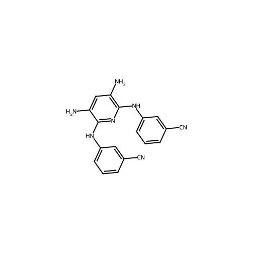 N#Cc1cccc(Nc2nc(Nc3cccc(C#N)c3)c(N)cc2N)c1